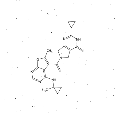 Cc1oc2ncnc(NC3(C)CC3)c2c1C(=O)N1Cc2nc(C3CC3)[nH]c(=O)c2C1